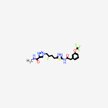 CNC(=O)c1cn(C[C@H](F)CCc2nnc(NC(=O)Cc3cccc(OC(F)(F)F)c3)s2)nn1